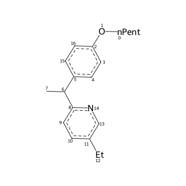 CCCCCOc1ccc(C(C)c2ccc(CC)cn2)cc1